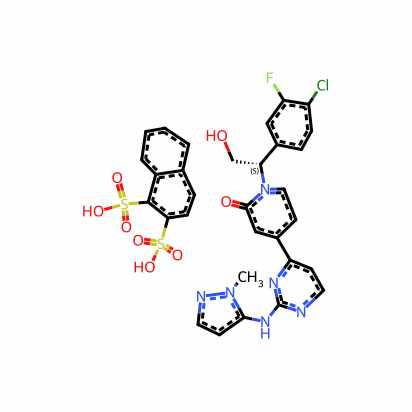 Cn1nccc1Nc1nccc(-c2ccn([C@H](CO)c3ccc(Cl)c(F)c3)c(=O)c2)n1.O=S(=O)(O)c1ccc2ccccc2c1S(=O)(=O)O